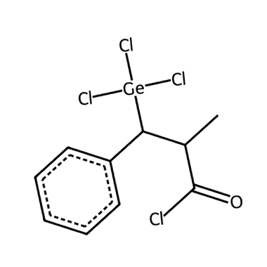 CC(C(=O)Cl)[CH](c1ccccc1)[Ge]([Cl])([Cl])[Cl]